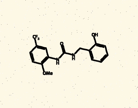 COc1ccc(C(F)(F)F)cc1NC(=O)NCc1ccccc1O